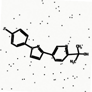 CC(C)(O)c1ccc(-c2ccn(-c3ccc(F)cc3)n2)cn1